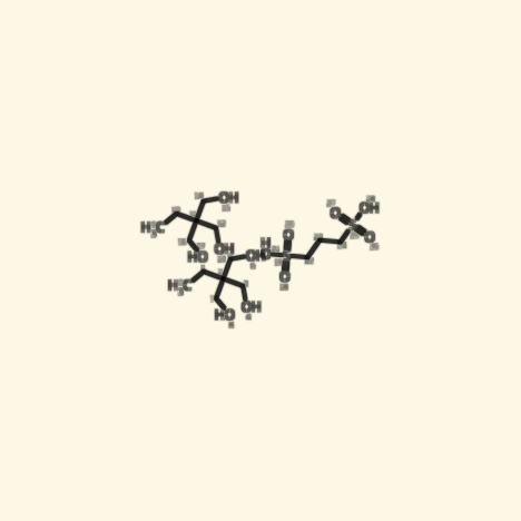 CCC(CO)(CO)CO.CCC(CO)(CO)CO.O=S(=O)(O)CCCS(=O)(=O)O